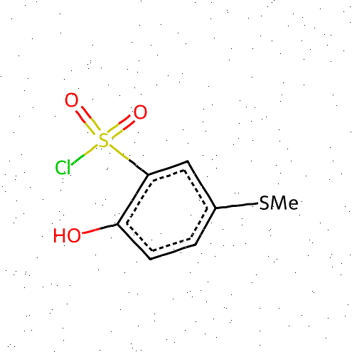 CSc1ccc(O)c(S(=O)(=O)Cl)c1